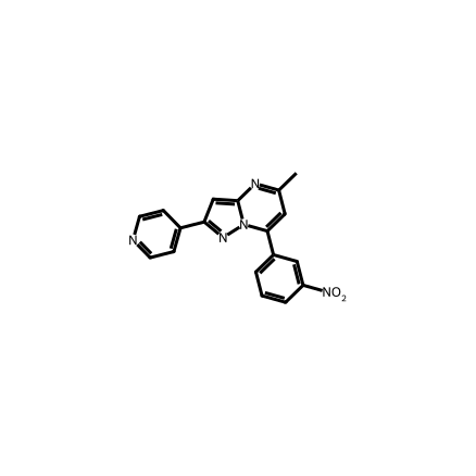 Cc1cc(-c2cccc([N+](=O)[O-])c2)n2nc(-c3ccncc3)cc2n1